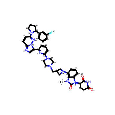 Cn1c(=O)n(C2CCC(=O)NC2=O)c2cccc(N3CC(CN4CCN(c5cccc(-c6cnc7ccc(N8CCCC8c8cccc(F)c8)nn67)n5)CC4)C3)c21